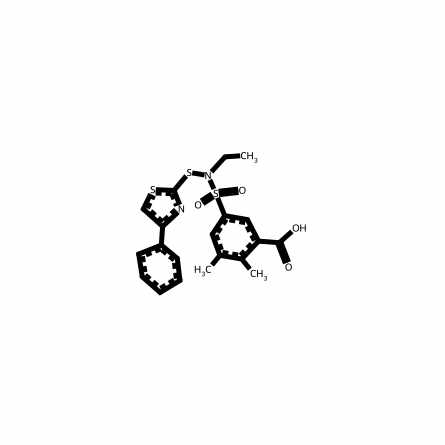 CCN(Sc1nc(-c2ccccc2)cs1)S(=O)(=O)c1cc(C)c(C)c(C(=O)O)c1